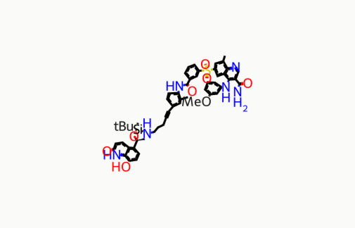 COc1cccc(Nc2c(C(N)=O)cnc3c(C)cc(S(=O)(=O)c4cccc(C(=O)Nc5ccc(C#CCCCNC[C@H](O[Si](C)(C)C(C)(C)C)c6ccc(O)c7[nH]c(=O)ccc67)cc5C)c4)cc23)c1